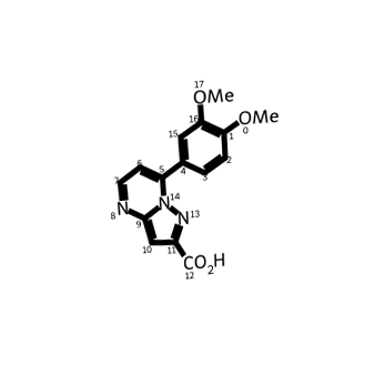 COc1ccc(-c2ccnc3cc(C(=O)O)nn23)cc1OC